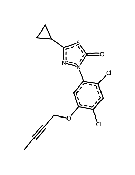 CC#CCOc1cc(-n2nc(C3CC3)sc2=O)c(Cl)cc1Cl